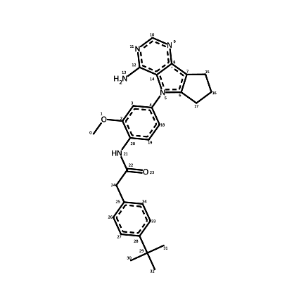 COc1cc(-n2c3c(c4ncnc(N)c42)CCC3)ccc1NC(=O)Cc1ccc(C(C)(C)C)cc1